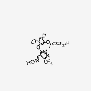 C[C@H](Oc1cc(Oc2c(C=NO)c(C(F)(F)F)nn2C)c(Cl)cc1Cl)C(=O)O